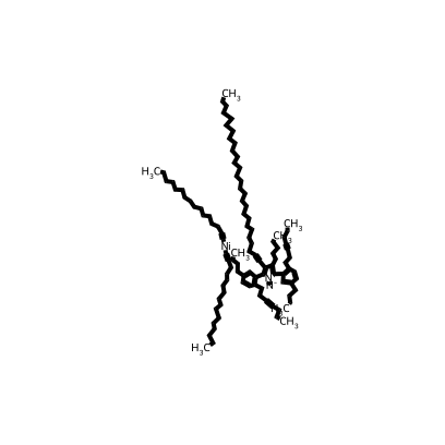 CCCC#CCCc1ccc(CCCC)cc1C1=C(C#CCCCCCCCCCCCCCCCCCCCCCCCCCC)C(CCCCC)=C(c2cc(CCCC)ccc2CCC#CCCC)[N+]1=[N-].CCCCCCCCCCCCCCC#[C][Ni][C]#CCCCCCCCCCCCCCC